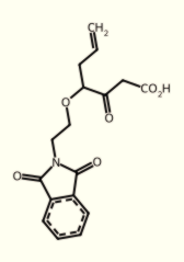 C=CCC(OCCN1C(=O)c2ccccc2C1=O)C(=O)CC(=O)O